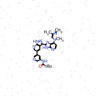 C=N/C(C)=C\N(C)c1ccnc2[nH]c(-c3n[nH]c4ncc(-c5cncc(NC(=O)CCCC)c5)cc34)nc12